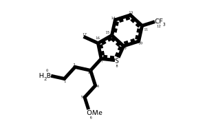 BCCC(CCOC)c1sc2cc(C(F)(F)F)ccc2c1C